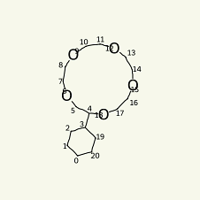 C1CCC(C2COCCOCCOCCOCCO2)CC1